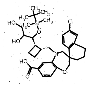 CC(C)(C)[Si](C)(C)OC(C(O)CO)[C@@H]1CC[C@H]1CN1CC2(CCCc3cc(Cl)ccc32)COc2ccc(C(=O)O)cc21